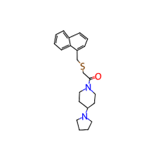 O=C(CSCc1cccc2ccccc12)N1CCC(N2CCCC2)CC1